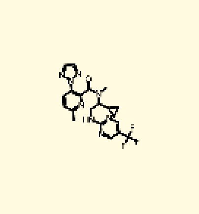 Cc1ccc(-n2nccn2)c(C(=O)N(C)C(CNc2ncc(C(F)(F)F)cn2)C2CC2)n1